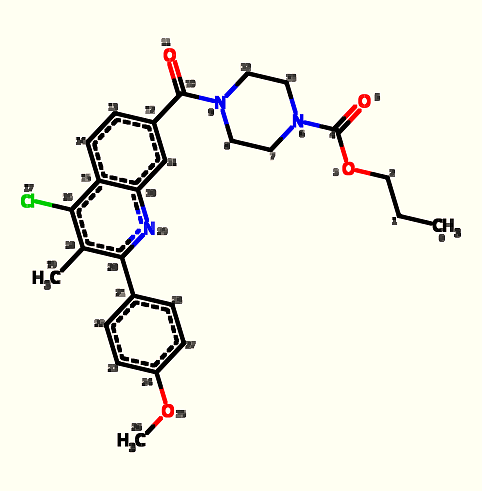 CCCOC(=O)N1CCN(C(=O)c2ccc3c(Cl)c(C)c(-c4ccc(OC)cc4)nc3c2)CC1